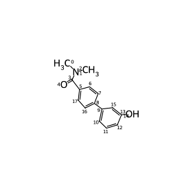 CN(C)C(=O)c1ccc(-c2cccc(O)c2)cc1